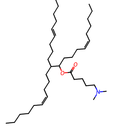 CCCCCC=CCCCC(CCC/C=C\CCCCC)C(CCC/C=C\CCCCC)OC(=O)CCCCN(C)C